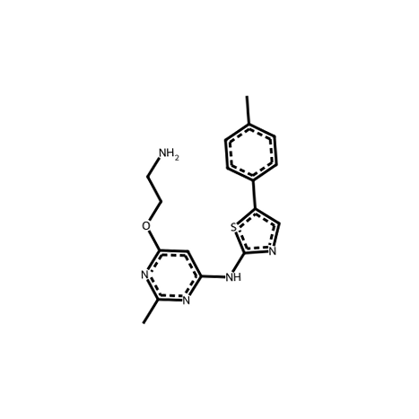 Cc1ccc(-c2cnc(Nc3cc(OCCN)nc(C)n3)s2)cc1